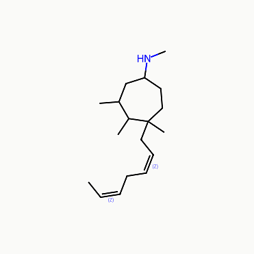 C/C=C\C/C=C\CC1(C)CCC(NC)CC(C)C1C